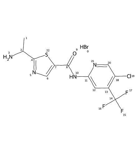 Br.CC(N)c1ncc(C(=O)Nc2cc(C(F)(F)F)c(Cl)cn2)s1